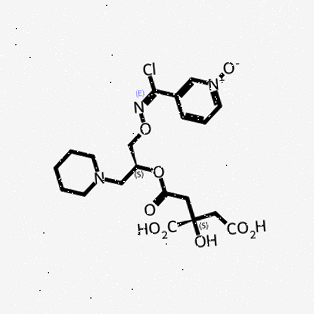 O=C(O)C[C@](O)(CC(=O)O[C@H](CO/N=C(/Cl)c1ccc[n+]([O-])c1)CN1CCCCC1)C(=O)O